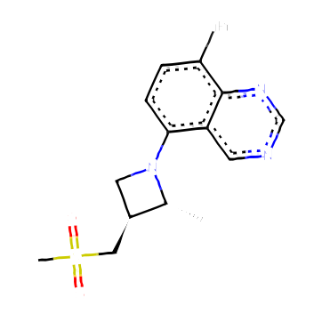 CC(C)c1ccc(N2C[C@H](CS(C)(=O)=O)[C@H]2C)c2cncnc12